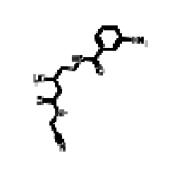 CC(CCNC(=O)c1cccc(N)c1)CC(=O)NCC#N